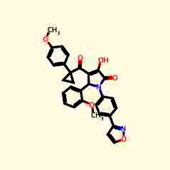 COc1ccc(C2(C(=O)C3=C(O)C(=O)N(c4ccc(-c5ccon5)cc4)C3c3ccccc3OC)CC2)cc1